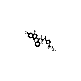 CC(C)(C)OC(=O)N1CCC(NC(=O)NC(c2ccccc2)c2c[nH]c3cc(Cl)ccc3c2=O)C1